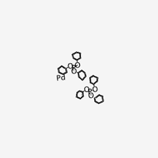 [Pd].c1ccc(OP(Oc2ccccc2)Oc2ccccc2)cc1.c1ccc(OP(Oc2ccccc2)Oc2ccccc2)cc1